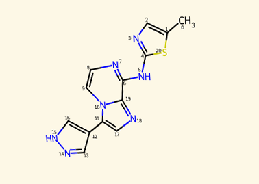 Cc1cnc(Nc2nccn3c(-c4cn[nH]c4)cnc23)s1